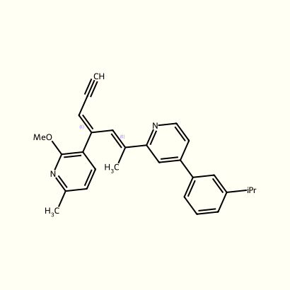 C#C/C=C(\C=C(/C)c1cc(-c2cccc(C(C)C)c2)ccn1)c1ccc(C)nc1OC